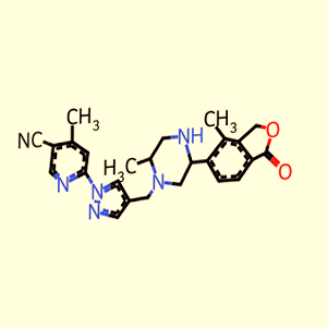 Cc1cc(-n2cc(CN3CC(c4ccc5c(c4C)COC5=O)NCC3C)cn2)ncc1C#N